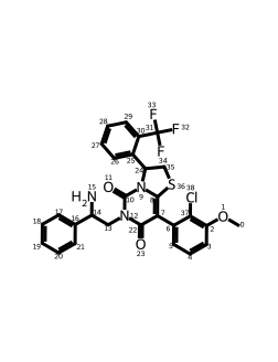 COc1cccc(-c2c3n(c(=O)n(CC(N)c4ccccc4)c2=O)C(c2ccccc2C(F)(F)F)CS3)c1Cl